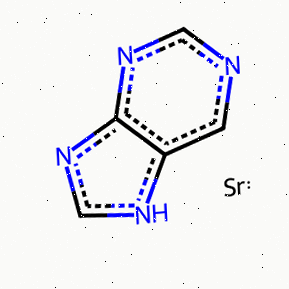 [Sr].c1ncc2[nH]cnc2n1